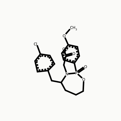 COc1ccc(P2(=O)OCCCC(Cc3ccc(Cl)cc3)N2CC(=O)O)cc1